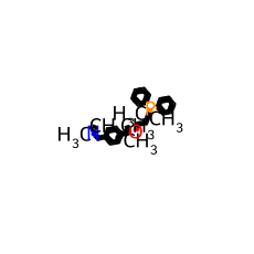 CN(C)Cc1ccc(C(C)(C)OCCC(C)(C)P(c2ccccc2)c2ccccc2)cc1